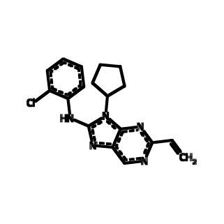 C=Cc1ncc2nc(Nc3ccccc3Cl)n(C3CCCC3)c2n1